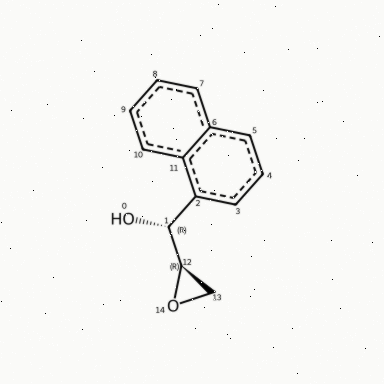 O[C@H](c1cccc2ccccc12)[C@H]1CO1